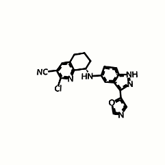 N#Cc1cc2c(nc1Cl)[C@@H](Nc1ccc3[nH]nc(-c4cnco4)c3c1)CCC2